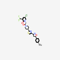 CC(C)(C)c1ccc(C2CC(c3csc(C4CCN(C(=O)Cn5cc(Cl)cc(C(F)F)c5=O)CC4)n3)=NO2)cc1